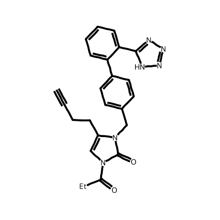 C#CCCc1cn(C(=O)CC)c(=O)n1Cc1ccc(-c2ccccc2-c2nnn[nH]2)cc1